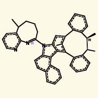 Cc1c2cc3c(c1-c1ccccc1C(C)[C@H](C)c1ccccc1-2)c1c2ccccc2ccc1n3/C1=N/c2ncccc2C(C)CCC1